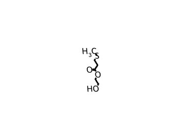 CSCCC(=O)OCCO